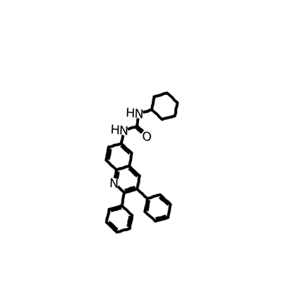 O=C(Nc1ccc2nc(-c3ccccc3)c(-c3ccccc3)cc2c1)NC1CCCCC1